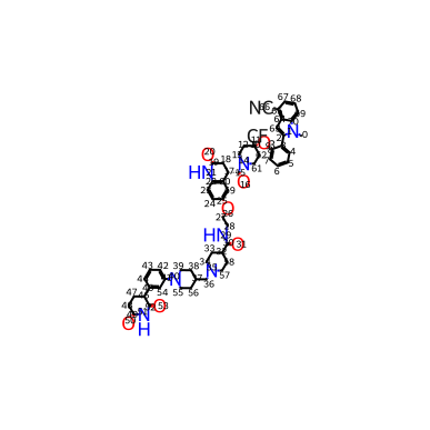 Cn1c(-c2ccccc2OC2(C(F)(F)F)CCN(C(=O)[C@H]3CC(=O)Nc4ccc(OCCNC(=O)C5CCN(CC6CCN(c7cccc(C8CCC(=O)NC8=O)c7)CC6)CC5)cc43)CC2)cc2c(C#N)cccc21